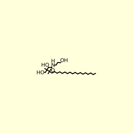 CCCCCCCCCCCCCCCCCCC(C)(C)C(C)(CO)C(O)C(=O)NCCCO